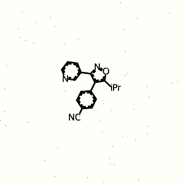 CC(C)c1onc(-c2cccnc2)c1-c1ccc(C#N)cc1